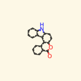 O=c1oc2ccc3[nH]c4ccccc4c3c2c2ccccc12